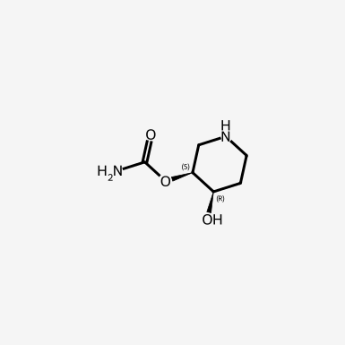 NC(=O)O[C@H]1CNCC[C@H]1O